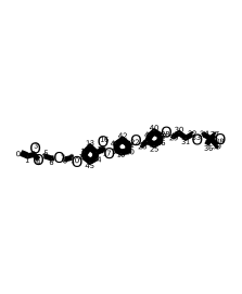 C=CC(=O)OCCOCCOc1ccc(C(=O)Oc2ccc(OCc3ccc(OCCCCOCC4(C)COC4)cc3)cc2)cc1